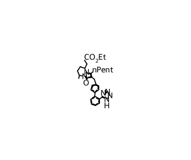 CCCCCc1c(Cc2ccc(-c3ccccc3-c3nnn[nH]3)cc2)c(=O)n2n1C(CCC(=O)OCC)CCC2C